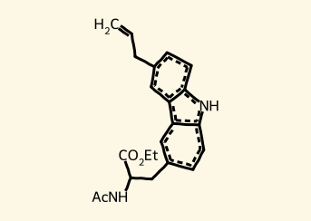 C=CCc1ccc2[nH]c3ccc(CC(NC(C)=O)C(=O)OCC)cc3c2c1